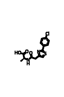 C[C@H](NC(=O)Cc1csc(-c2ccc(Cl)cc2)n1)C(=O)O